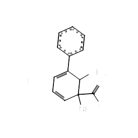 Cl.NC1(C(=O)O)C=CC=C(c2ccccc2)C1O